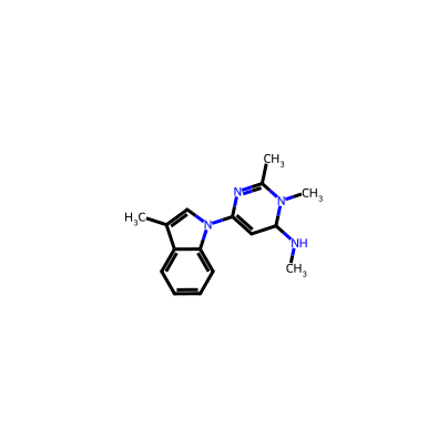 CNC1C=C(n2cc(C)c3ccccc32)N=C(C)N1C